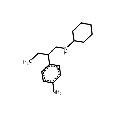 CCC(CNC1CCCCC1)c1ccc(N)cc1